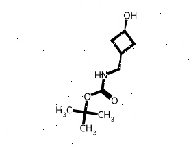 CC(C)(C)OC(=O)NC[C@H]1C[C@@H](O)C1